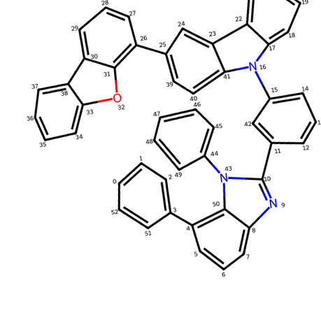 c1ccc(-c2cccc3nc(-c4cccc(-n5c6ccccc6c6cc(-c7cccc8c7oc7ccccc78)ccc65)c4)n(-c4ccccc4)c23)cc1